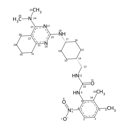 Cc1ccc([N+](=O)[O-])c(NC(=O)NC[C@H]2CC[C@@H](Nc3nc4c(c(N(C)C)n3)CCCC4)CC2)c1C